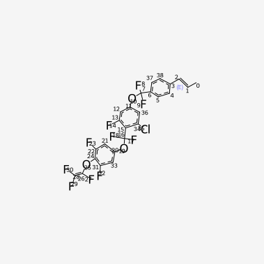 C/C=C/c1ccc(C(F)(F)Oc2cc(F)c(C(F)(F)Oc3cc(F)c(OC(F)=C(F)F)c(F)c3)c(Cl)c2)cc1